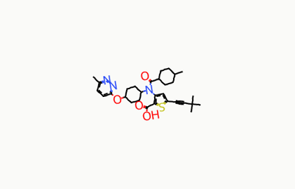 Cc1ccc(OC2CCC(N(C(=O)C3CCC(C)CC3)c3cc(C#CC(C)(C)C)sc3C(=O)O)CC2)nn1